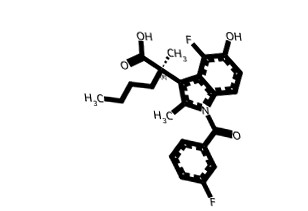 CCCC[C@@](C)(C(=O)O)c1c(C)n(C(=O)c2cccc(F)c2)c2ccc(O)c(F)c12